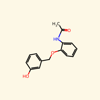 CC(=O)Nc1ccccc1OCc1cccc(O)c1